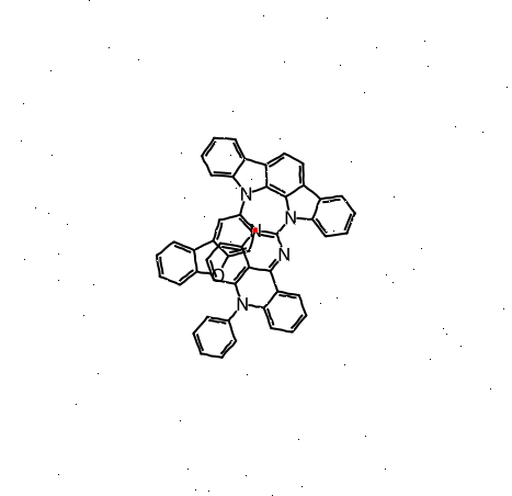 c1ccc(N2c3ccccc3-c3nc(-n4c5ccccc5c5ccc6c7ccccc7n(-c7ccc8oc9ccccc9c8c7)c6c54)nc4cccc2c34)cc1